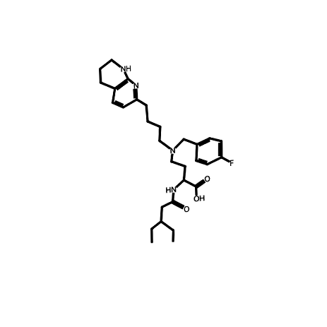 CCC(CC)CC(=O)NC(CCN(CCCCc1ccc2c(n1)NCCC2)Cc1ccc(F)cc1)C(=O)O